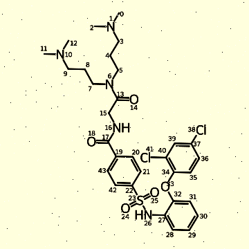 CN(C)CCCN(CCCN(C)C)C(=O)CNC(=O)c1ccc(S(=O)(=O)Nc2ccccc2Oc2ccc(Cl)cc2Cl)cc1